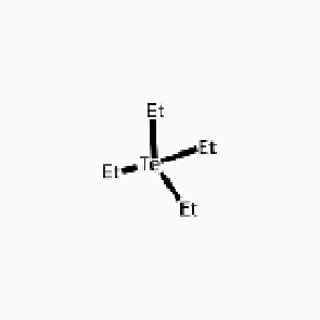 CC[Te](CC)(CC)CC